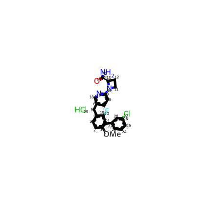 COc1ccc(Cc2ccc(N3CC[C@@H]3C(N)=O)nc2)c(F)c1-c1cccc(Cl)c1.Cl